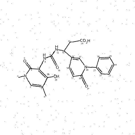 Cc1cn(C)c(=O)c(NC(=O)NC(CC(=O)O)c2ccc(=O)n(-c3ccccc3)c2)c1O